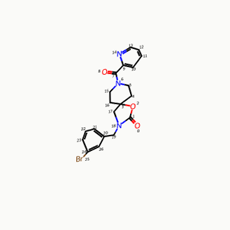 O=C1OC2(CCN(C(=O)c3ccccn3)CC2)CN1Cc1cccc(Br)c1